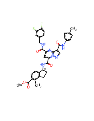 Cc1ccc(NC(=O)c2cnn3c(C(=O)N[C@H]4CCc5c4ccc(C(=O)OC(C)(C)C)c5C)cc(C(=O)NCc4ccc(F)c(F)c4)nc23)cc1